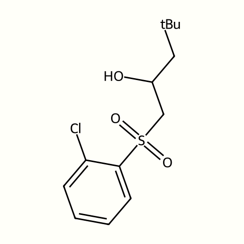 CC(C)(C)CC(O)CS(=O)(=O)c1ccccc1Cl